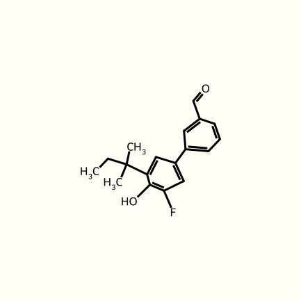 CCC(C)(C)c1cc(-c2cccc(C=O)c2)cc(F)c1O